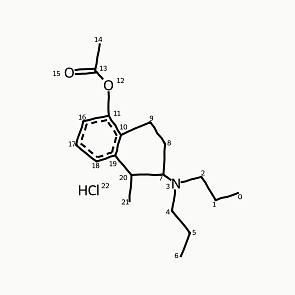 CCCN(CCC)C1CCc2c(OC(C)=O)cccc2C1C.Cl